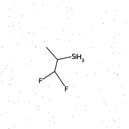 CC([SiH3])C(F)F